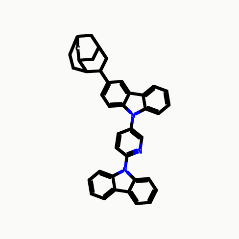 c1ccc2c(c1)c1cc(C3CC4CC5CCC3C(C5)C4)ccc1n2-c1ccc(-n2c3ccccc3c3ccccc32)nc1